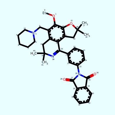 CCOc1c(CN2CCCCC2)c2c(c3c1OC(C)(C)C3)C(c1cccc(N3C(=O)c4ccccc4C3=O)c1)=NC(C)(C)C2